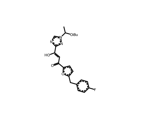 CC(C)COC(C)n1cnc(C(O)=CC(=O)c2ccc(Cc3ccc(F)cc3)o2)n1